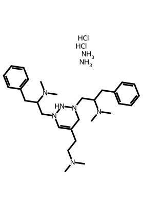 CN(C)CCC1=CN(CC(Cc2ccccc2)N(C)C)NN(CC(Cc2ccccc2)N(C)C)C1.Cl.Cl.N.N